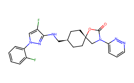 O=C1O[C@]2(CC[C@H](CNc3nn(-c4ccccc4F)cc3F)CC2)CN1c1cccnn1